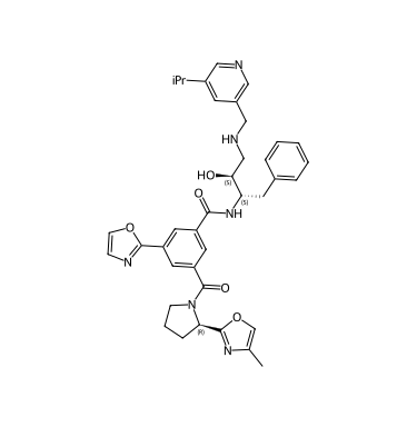 Cc1coc([C@H]2CCCN2C(=O)c2cc(C(=O)N[C@@H](Cc3ccccc3)[C@@H](O)CNCc3cncc(C(C)C)c3)cc(-c3ncco3)c2)n1